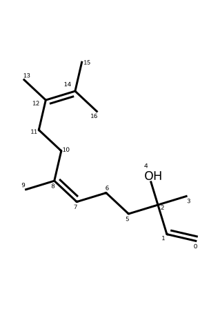 C=CC(C)(O)CCC=C(C)CCC(C)=C(C)C